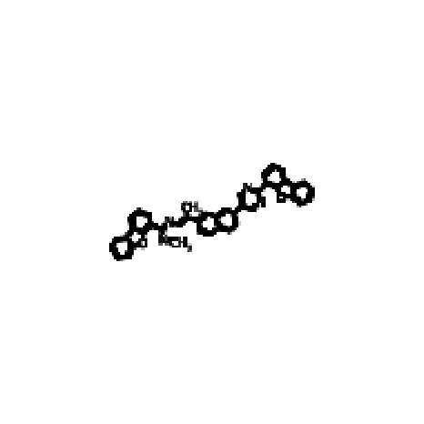 C=N/C(=N\C=C(/C)c1ccc2ccc(-c3cnc(-c4cccc5c4oc4ccccc45)nc3)cc2c1)c1cccc2c1oc1ccccc12